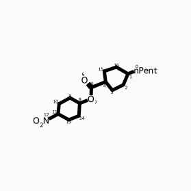 CCCCCC1CCC(C(=O)OC2CCC([N+](=O)[O-])CC2)CC1